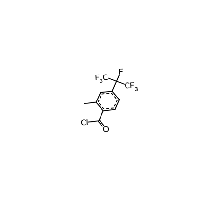 Cc1cc(C(F)(C(F)(F)F)C(F)(F)F)ccc1C(=O)Cl